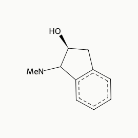 CNC1c2ccccc2C[C@@H]1O